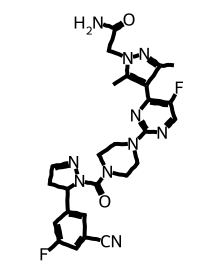 Cc1nn(CC(N)=O)c(C)c1-c1nc(N2CCN(C(=O)N3N=CCC3c3cc(F)cc(C#N)c3)CC2)ncc1F